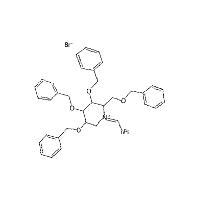 CCCC=[N+]1CC(OCc2ccccc2)C(OCc2ccccc2)C(OCc2ccccc2)C1COCc1ccccc1.[Br-]